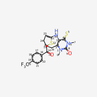 Cn1c2c(c(=S)n(C)c1=O)N/C(SCC(=O)c1ccc(C(F)(F)F)cc1)=C/CCC2